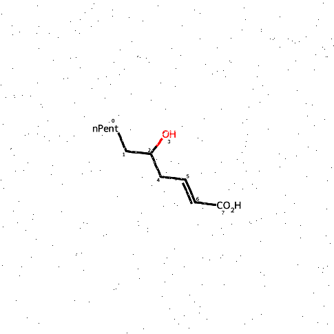 CCCCCCC(O)C/C=C/C(=O)O